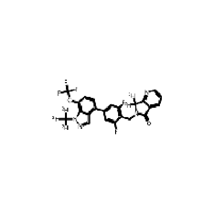 [2H]C1([2H])c2ncccc2C(=O)N1Cc1c(F)cc(-c2ccc(OC(F)(F)F)c3c2cnn3C([2H])([2H])[2H])cc1F